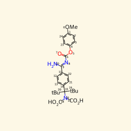 COc1ccc(OC(=O)N=C(N)c2ccc(C(N(C(=O)O)C(=O)O)(C(C)(C)C)C(C)(C)C)cc2)cc1